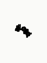 C=CS(=O)(=O)NC[C@H]1CCCN(S(=O)(=O)c2cc(C)cc(C)c2)C1